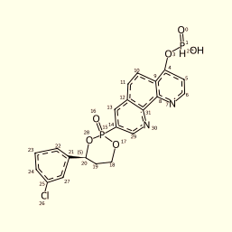 O=[PH](O)Oc1ccnc2c1ccc1cc(P3(=O)OCC[C@@H](c4cccc(Cl)c4)O3)cnc12